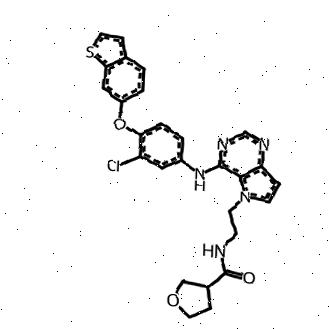 O=C(NCCn1ccc2ncnc(Nc3ccc(Oc4ccc5ccsc5c4)c(Cl)c3)c21)C1CCOC1